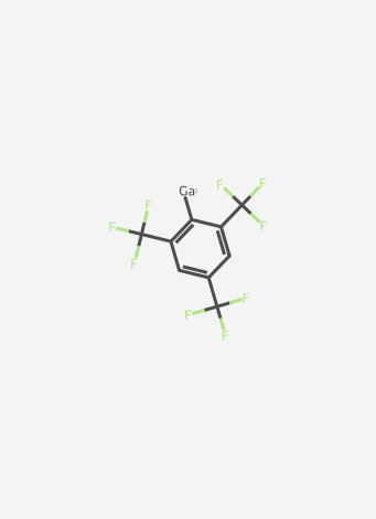 FC(F)(F)c1cc(C(F)(F)F)[c]([Ga])c(C(F)(F)F)c1